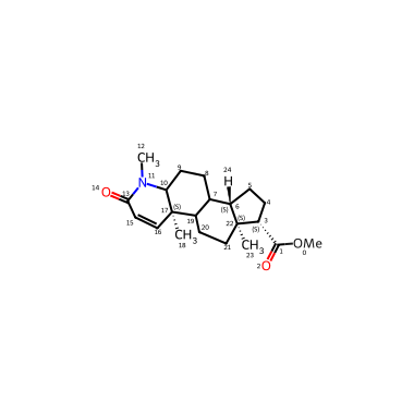 COC(=O)[C@H]1CC[C@H]2C3CCC4N(C)C(=O)C=C[C@]4(C)C3CC[C@]12C